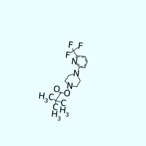 CC(C)(C)C(=O)ON1CCN(c2cccc(C(F)(F)F)n2)CC1